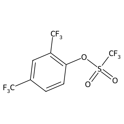 O=S(=O)(Oc1ccc(C(F)(F)F)cc1C(F)(F)F)C(F)(F)F